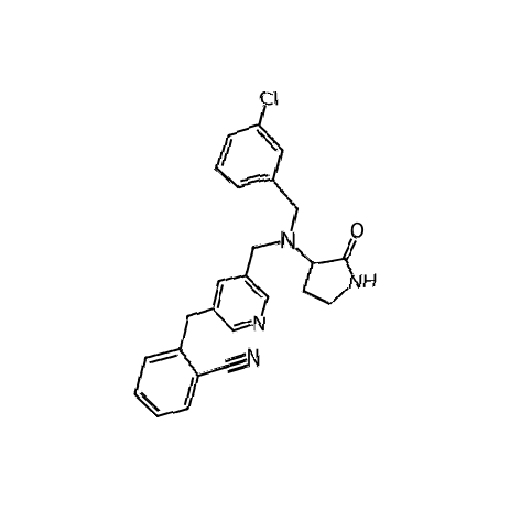 N#Cc1ccccc1Cc1cncc(CN(Cc2cccc(Cl)c2)C2CCNC2=O)c1